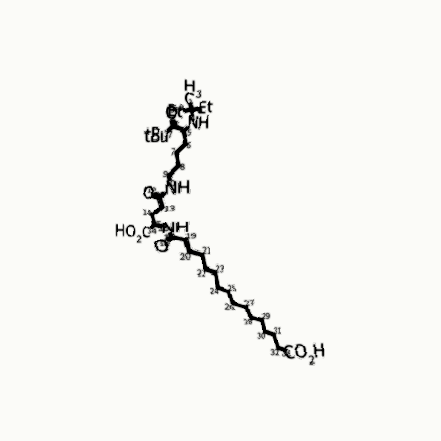 CCC(C)(CC)NC(CCCCNC(=O)CCC(NC(=O)CCCCCCCCCCCCCCC(=O)O)C(=O)O)C(=O)C(C)(C)C